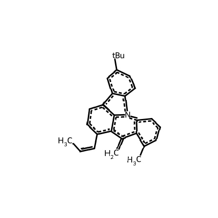 C=c1c2c(C)cccc2n2c3ccc(C(C)(C)C)cc3c3ccc(/C=C\C)c1c32